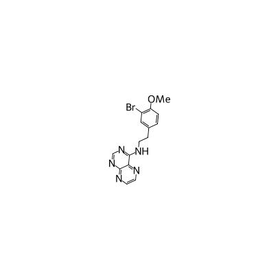 COc1ccc(CCNc2ncnc3nccnc23)cc1Br